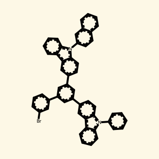 Brc1cccc(-c2cc(-c3ccc4c(c3)c3ccccc3n4-c3ccccc3)cc(-c3ccc4c(c3)c3ccccc3n4-c3ccc4ccccc4c3)c2)c1